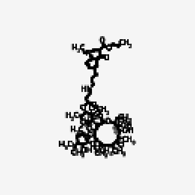 C=CCOC(=O)c1cn(CC)c2ccc(CCCNCCC(=O)O[C@@H]3[C@H](C)O[C@H](O[C@@H]4[C@@H](C)[C@H](O[C@@H]5O[C@H](C)C[C@H](N(C)C)[C@@H]5O)[C@](C)(OC)C[C@H](C)C(=O)[C@H](C)[C@@H](O)[C@](C)(O)[C@H](CC)OC(=O)[C@@H]4C)C[C@]3(C)OC)cc2c1=O